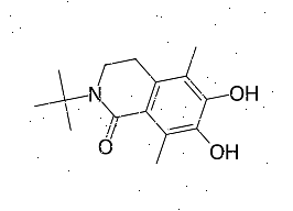 Cc1c(O)c(O)c(C)c2c1CCN(C(C)(C)C)C2=O